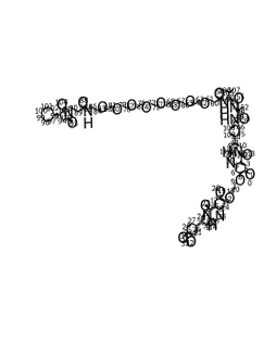 COc1cc2c(cc1OCCCOc1cc3c(cc1OC)C(=O)N1C=C(c4ccc5c(c4)OCO5)C[C@H]1C=N3)N=C[C@@H]1CC(c3ccc(NC(=O)[C@H](C)NC(=O)[C@@H](NC(=O)CCOCCOCCOCCOCCOCCOCCOCCOCCNC(=O)CCN4C(=O)CC(C5CCCCCC5)C4=O)C(C)C)cc3)=CN1C2=O